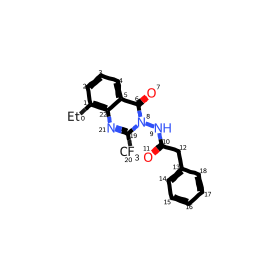 CCc1cccc2c(=O)n(NC(=O)Cc3ccccc3)c(C(F)(F)F)nc12